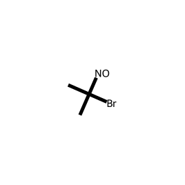 CC(C)(Br)N=O